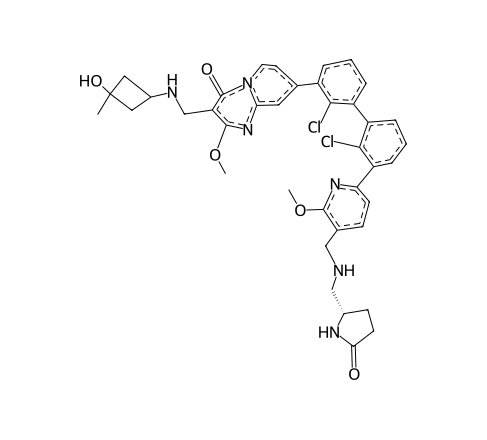 COc1nc(-c2cccc(-c3cccc(-c4ccn5c(=O)c(CNC6CC(C)(O)C6)c(OC)nc5c4)c3Cl)c2Cl)ccc1CNC[C@@H]1CCC(=O)N1